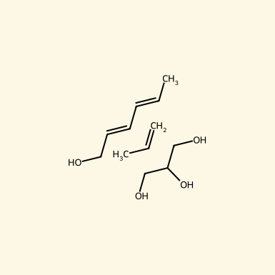 C/C=C/C=C/CO.C=CC.OCC(O)CO